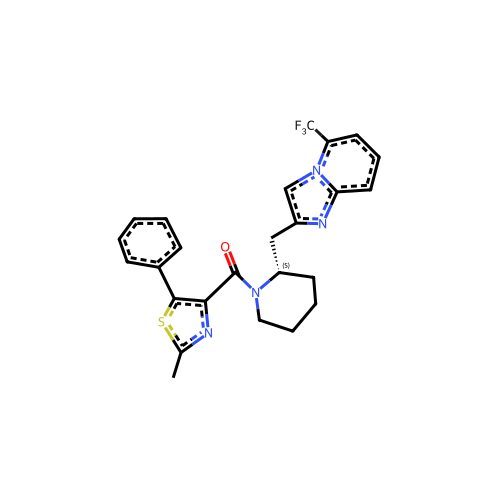 Cc1nc(C(=O)N2CCCC[C@H]2Cc2cn3c(C(F)(F)F)cccc3n2)c(-c2ccccc2)s1